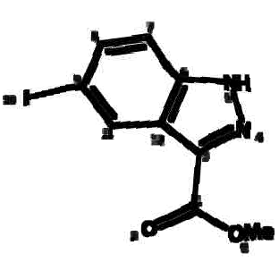 COC(=O)c1n[nH]c2ccc(I)cc12